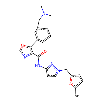 CC(=O)c1ccc(Cn2ccc(NC(=O)c3ncoc3-c3cccc(CN(C)C)c3)n2)o1